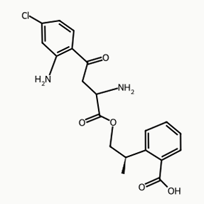 C[C@@H](COC(=O)C(N)CC(=O)c1ccc(Cl)cc1N)c1ccccc1C(=O)O